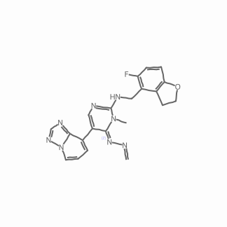 C=N/N=c1/c(-c2cccn3ncnc23)cnc(NCc2c(F)ccc3c2CCO3)n1C